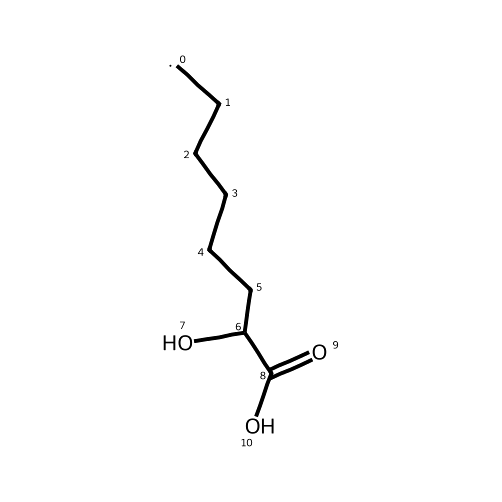 [CH2]CCCCCC(O)C(=O)O